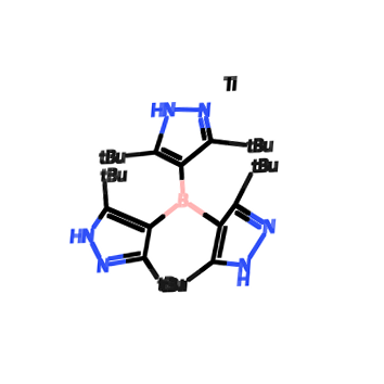 CC(C)(C)c1n[nH]c(C(C)(C)C)c1B(c1c(C(C)(C)C)n[nH]c1C(C)(C)C)c1c(C(C)(C)C)n[nH]c1C(C)(C)C.[Ti]